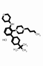 CCCCN1CCN(c2c(NC3CCOCC3)cccc2C2=CCC(C(C)(C)C)CC2)CC1.Cl